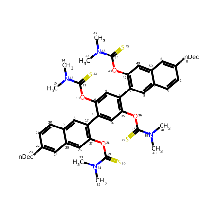 CCCCCCCCCCc1ccc2cc(-c3cc(OC(=S)N(C)C)c(-c4cc5ccc(CCCCCCCCCC)cc5cc4OC(=S)N(C)C)cc3OC(=S)N(C)C)c(OC(=S)N(C)C)cc2c1